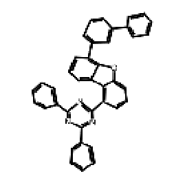 c1ccc(-c2cccc(-c3cccc4c3oc3cccc(-c5nc(-c6ccccc6)nc(-c6ccccc6)n5)c34)c2)cc1